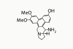 COc1cc2c3c(c4ccc(O)cc4c2cc1OC)C(N)[C@@H]1CCCN1C3